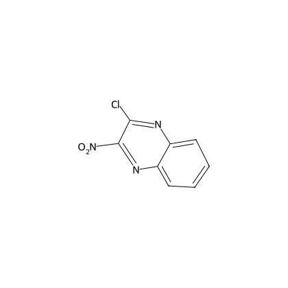 O=[N+]([O-])c1nc2ccccc2nc1Cl